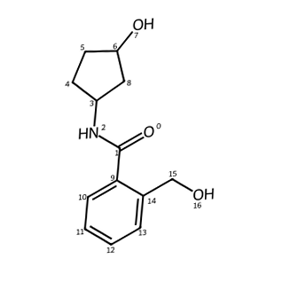 O=C(NC1CCC(O)C1)c1ccccc1CO